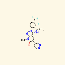 C[C@@H](Nc1ncnc2c1cc(-c1ccnnc1)c(=O)n2C)c1cccc(C(F)F)c1F